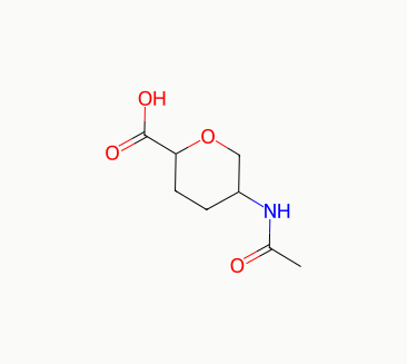 CC(=O)NC1CCC(C(=O)O)OC1